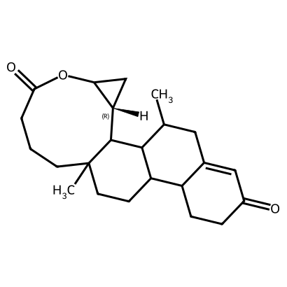 CC1CC2=CC(=O)CCC2C2CCC3(C)CCCC(=O)OC4C[C@@H]4C3C12